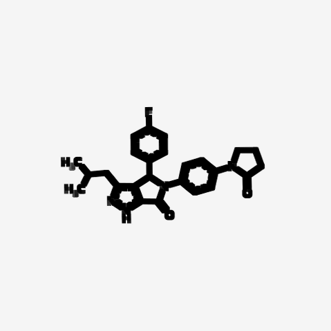 CC(C)Cc1n[nH]c2c1C(c1ccc(F)cc1)N(c1ccc(N3CCCC3=O)cc1)C2=O